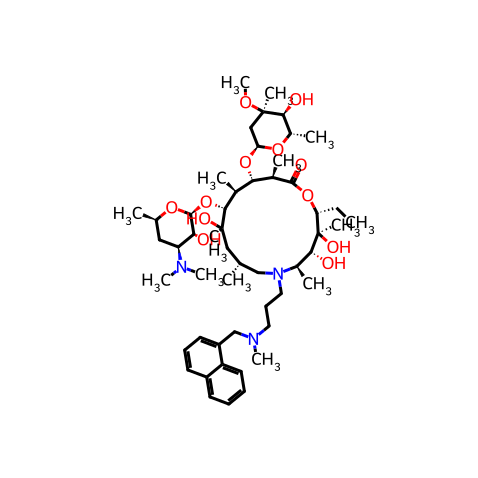 CC[C@H]1OC(=O)[C@H](C)[C@@H](O[C@H]2C[C@@](C)(OC)[C@@H](O)[C@H](C)O2)[C@H](C)[C@@H](O[C@@H]2O[C@H](C)C[C@H](N(C)C)[C@H]2O)[C@](C)(O)C[C@@H](C)CN(CCCN(C)Cc2cccc3ccccc23)[C@H](C)[C@@H](O)[C@]1(C)O